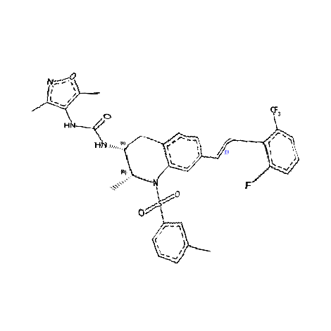 Cc1cccc(S(=O)(=O)N2c3cc(/C=C/c4c(F)cccc4C(F)(F)F)ccc3C[C@@H](NC(=O)Nc3c(C)noc3C)[C@H]2C)c1